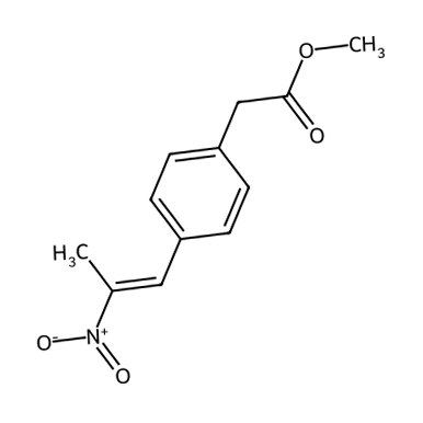 COC(=O)Cc1ccc(/C=C(\C)[N+](=O)[O-])cc1